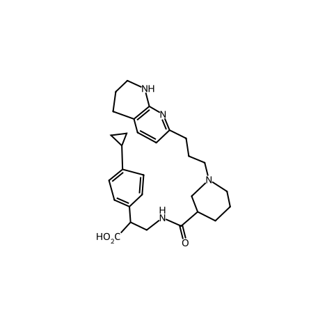 O=C(NCC(C(=O)O)c1ccc(C2CC2)cc1)C1CCCN(CCCc2ccc3c(n2)NCCC3)C1